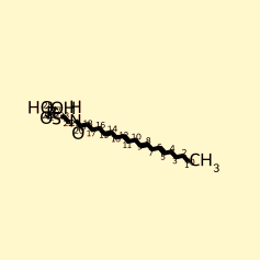 CCCCCC=CCC=CCC=CCC=CCCCC(=O)NCCSP(=O)(O)O